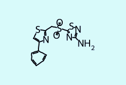 Nc1nsc(S(=O)(=O)Cc2nc(-c3ccccc3)cs2)n1